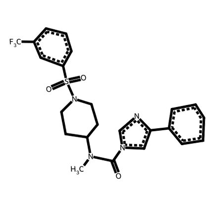 CN(C(=O)n1cnc(-c2ccccc2)c1)C1CCN(S(=O)(=O)c2cccc(C(F)(F)F)c2)CC1